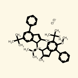 COc1c(C(C)(C)C)cc2c(c1-c1ccccc1)C=C(C)[CH]2[Zr+2]([CH]1C(C)=Cc2c(-c3ccccc3)cc(C(C)(C)C)cc21)=[Si](C)C.[Cl-].[Cl-]